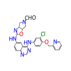 O=CN1CC2N=C(Nc3ccc4ncnc(Nc5ccc(OCc6ccccn6)c(Cl)c5)c4c3)OC2C1